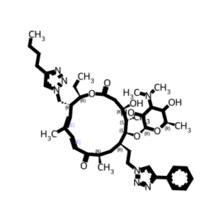 CCCCc1cn(C[C@H]2/C=C(C)/C=C/C(=O)[C@H](C)C[C@H](CCn3cc(-c4ccccc4)nn3)[C@H](O[C@@H]3O[C@H](C)C(O)C(N(C)C)C3O)[C@@H](C)[C@H](O)CC(=O)O[C@@H]2CC)nn1